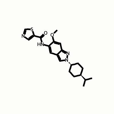 COc1cc2nn([C@H]3CC[C@H](C(C)C)CC3)cc2cc1NC(=O)c1cncs1